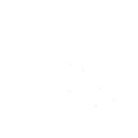 COc1c(-c2nc(N)no2)nn(-c2ccccc2Cl)c1-c1ccc(Cl)cc1